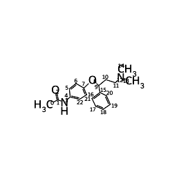 CC(=O)Nc1ccc(OC(CCN(C)C)c2ccccc2)cc1